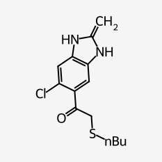 C=C1Nc2cc(Cl)c(C(=O)CSCCCC)cc2N1